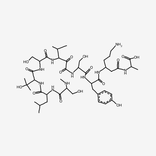 CNC(CO)C(=O)NC(CC(C)C)C(=O)NC(C(=O)NC(CO)C(=O)NC(C(=O)C(=O)NC(CO)C(=O)NC(Cc1ccc(O)cc1)C(=O)NC(CCCN)CC(=O)NC(C)C(=O)O)C(C)C)C(C)(C)O